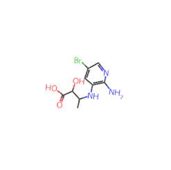 CC(Nc1cc(Br)cnc1N)C(O)C(=O)O